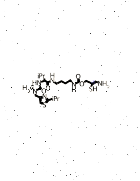 CC(C)c1nc(CN(C)C(=O)NC(C(=O)NCCCCNC(=O)OC/C(S)=C/N)C(C)C)cs1